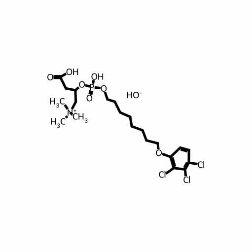 C[N+](C)(C)CC(CC(=O)O)OP(=O)(O)OCCCCCCCCOc1ccc(Cl)c(Cl)c1Cl.[OH-]